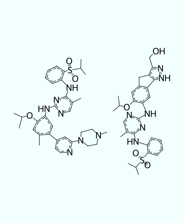 Cc1cc(OC(C)C)c(Nc2ncc(C)c(Nc3ccccc3S(=O)(=O)C(C)C)n2)cc1-c1ccnc(N2CCN(C)CC2)c1.Cc1cnc(Nc2cc3c(cc2OC(C)C)Cc2c(CO)n[nH]c2-3)nc1Nc1ccccc1S(=O)(=O)C(C)C